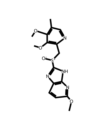 COc1ccc2nc([S+]([O-])Cc3ncc(C)c(OC)c3OC)[nH]c2n1